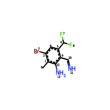 Cc1c(Br)cc(C(F)F)c(C=N)c1N